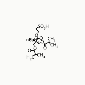 C=C(C)C(=O)OCC(CCCC)(COC(=O)C(=C)C)C(=O)OCCS(=O)(=O)O.[CaH2]